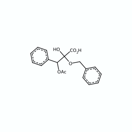 CC(=O)OC(c1ccccc1)C(O)(OCc1ccccc1)C(=O)O